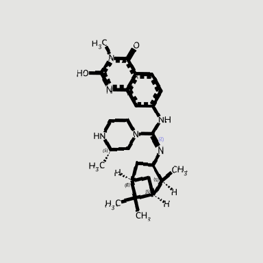 C[C@@H]1C(/N=C(/Nc2ccc3c(=O)n(C)c(O)nc3c2)N2CCN[C@@H](C)C2)C[C@H]2C[C@@H]1C2(C)C